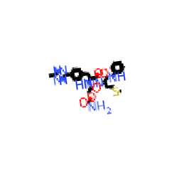 CSCCC(NC(=O)C(Cc1ccc(-c2nnc(C)nn2)cc1)NC(=O)COC(N)=O)C(=O)Nc1ccccc1